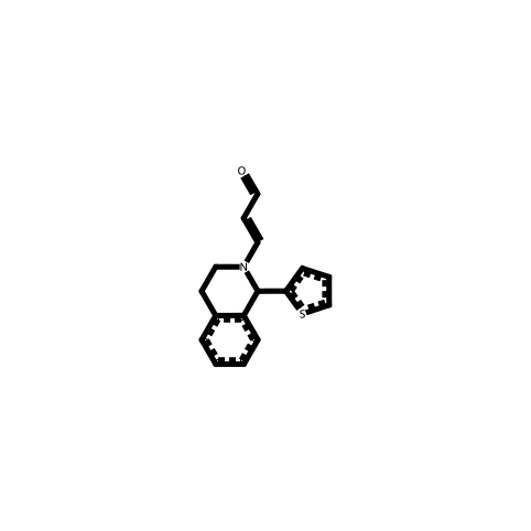 O=CC=CN1CCc2ccccc2C1c1cccs1